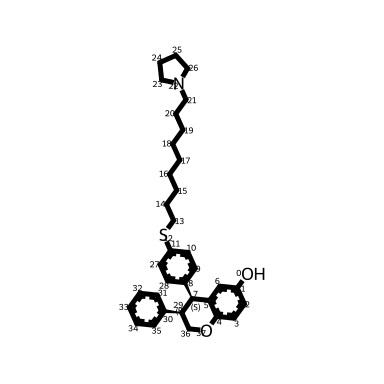 Oc1ccc2c(c1)[C@H](c1ccc(SCCCCCCCCCN3CCCC3)cc1)[C@H](c1ccccc1)CO2